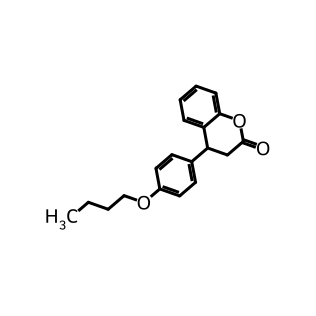 CCCCOc1ccc(C2CC(=O)Oc3ccccc32)cc1